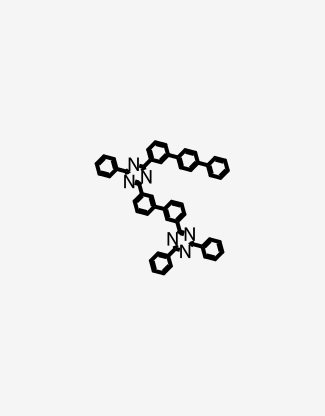 c1ccc(-c2ccc(-c3cccc(-c4nc(-c5ccccc5)nc(-c5cccc(-c6cccc(-c7nc(-c8ccccc8)nc(-c8ccccc8)n7)c6)c5)n4)c3)cc2)cc1